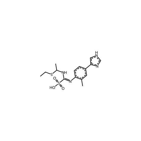 CCSC(C)N/C(=N\c1ccc(-c2c[nH]cn2)cc1C)S(=O)(=O)O